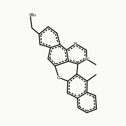 Cc1c2c(cc3ccccc13)Oc1cc3cc(CC(C)(C)C)ccc3c3nc[n+](C)c-2c13